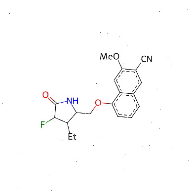 CCC1C(COc2cccc3cc(C#N)c(OC)cc23)NC(=O)C1F